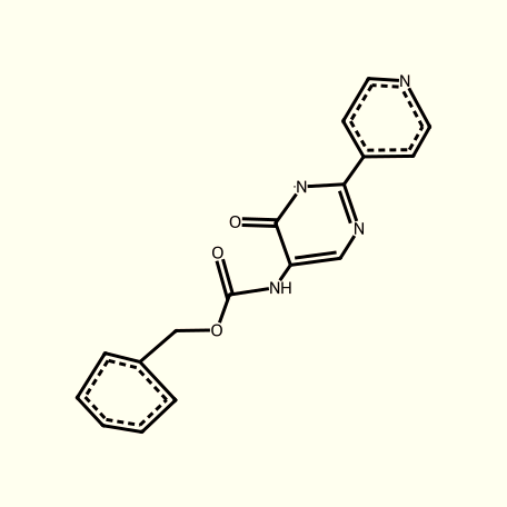 O=C(NC1=CN=C(c2ccncc2)[N]C1=O)OCc1ccccc1